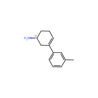 Cc1cccc(C2=CCC[C@H](N)C2)c1